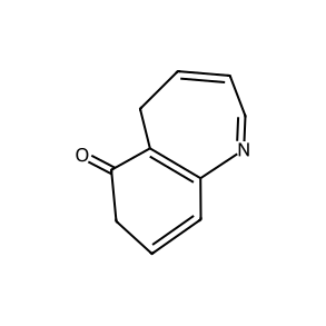 O=C1CC=CC2=C1CC=CC=N2